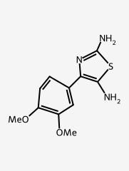 COc1ccc(-c2nc(N)sc2N)cc1OC